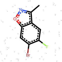 Cc1noc2cc(Br)c(F)cc12